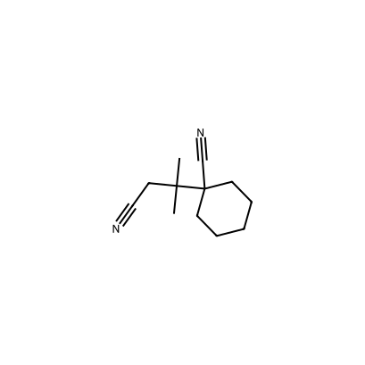 CC(C)(CC#N)C1(C#N)CCCCC1